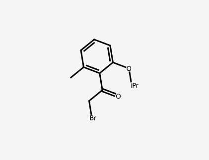 Cc1cccc(OC(C)C)c1C(=O)CBr